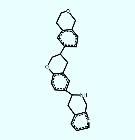 c1ccc2c(c1)CNC(c1ccc3c(c1)CC(c1ccc4c(c1)CCOC4)CO3)C2